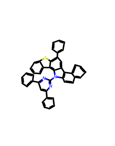 c1ccc(-c2cc(-c3ccccc3)nc(-n3c4ccc5ccccc5c4c4cc(-c5ccccc5)c5sc6ccccc6c5c43)n2)cc1